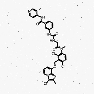 Cc1nc2c(OCc3c(Cl)ccc(N(C)C(=O)CNC(=O)Nc4cccc(C(=O)Nc5ccncc5)c4)c3Cl)cccn2c1Cl